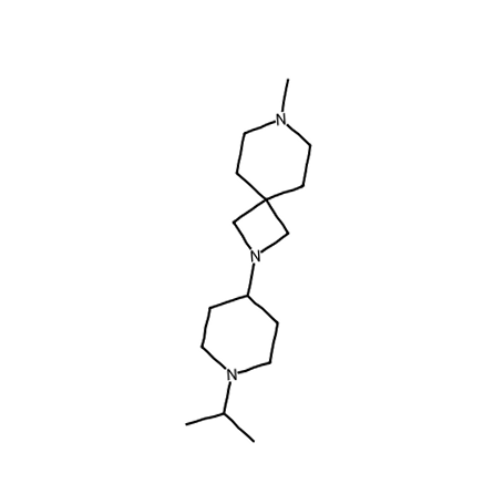 CC(C)N1CCC(N2CC3(CCN(C)CC3)C2)CC1